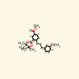 COC(=O)c1ccc(CCCc2cccc(OC)c2)c(B2OC(C)(C)C(C)(C)O2)c1